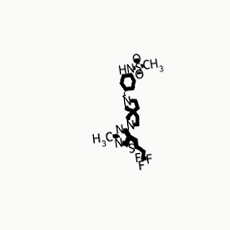 Cc1nc(N2CCC3(CCN(C[C@H]4CC[C@H](NS(C)(=O)=O)CC4)C3)C2)c2cc(CC(F)(F)F)sc2n1